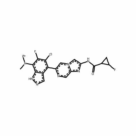 CC(C)N(C)c1c(F)c(Cl)c(-c2cn3cc(NC(=O)C4CC4F)nc3cn2)c2cn[nH]c12